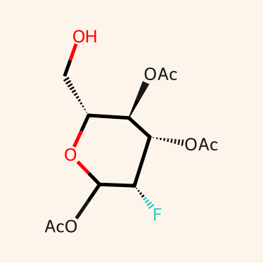 CC(=O)OC1O[C@H](CO)[C@@H](OC(C)=O)[C@H](OC(C)=O)[C@@H]1F